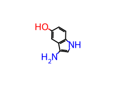 Nc1c[nH]c2ccc(O)cc12